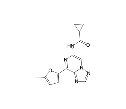 Cc1ccc(-c2nc(NC(=O)C3CC3)cn3ncnc23)o1